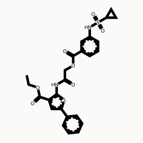 CCOC(=O)c1cc(-c2ccccc2)sc1NC(=O)COC(=O)c1cccc(NS(=O)(=O)C2CC2)c1